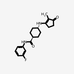 CC1=C(N[C@H]2CC[C@H](C(=O)Nc3cccc(F)c3)CC2)CCC1=O